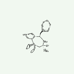 CCCC[C@]1(CC)CS(=O)(=O)c2c[nH]cc2[C@@H](c2ccccc2)N1